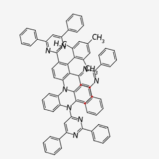 Cc1cc(C)c(-c2c(-c3nc(-c4ccccc4)cc(-c4ccccc4)n3)ccc(N3c4ccccc4N(c4cc(-c5ccccc5)nc(-c5ccccc5)n4)c4ccccc43)c2-c2cc(-c3ccccc3)nc(-c3ccccc3)n2)c(C)c1